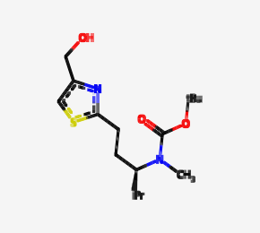 CC(C)[C@@H](CCc1nc(CO)cs1)N(C)C(=O)OC(C)(C)C